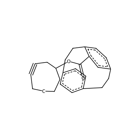 O=C(OC1CC#CCCCC1)c1cc2ccc1CCc1ccc(cc1)CC2